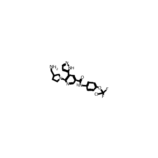 NCC1CCN(c2ncc(C(=O)Nc3ccc(OC(F)(F)Cl)cc3)cc2-c2ccn[nH]2)C1